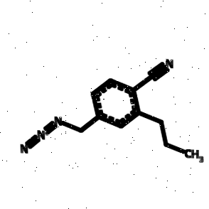 CCCc1cc(CN=[N+]=[N-])ccc1C#N